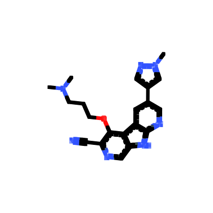 CN(C)CCCOc1c(C#N)ncc2[nH]c3ncc(-c4cnn(C)c4)cc3c12